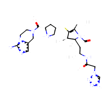 C[C@@H](NC(=O)Cn1cnnn1)[C@H]1C(=O)N2C(C(=O)O)=C(S[C@@H]3CN[C@H](C(=O)N4CCn5c(cnc5N)C4)C3)[C@H](C)[C@H]12